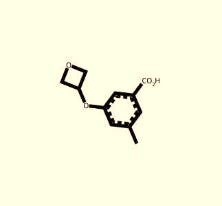 Cc1cc(OC2COC2)cc(C(=O)O)c1